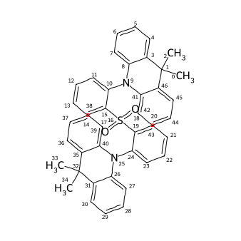 CC1(C)c2ccccc2N(c2ccccc2S(=O)(=O)c2ccccc2N2c3ccccc3C(C)(C)c3ccccc32)c2ccccc21